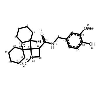 CCC1(C2(C3(CC)CCCCC3)C(C(=O)NCc3ccc(O)c(OC)c3)CN2C(=O)O)CCCCC1